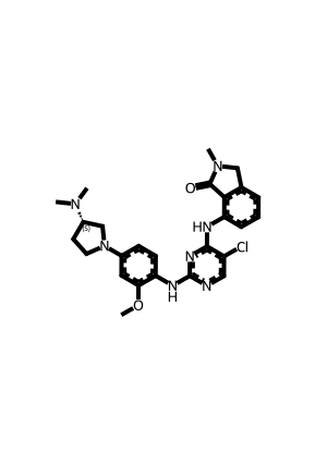 COc1cc(N2CC[C@H](N(C)C)C2)ccc1Nc1ncc(Cl)c(Nc2cccc3c2C(=O)N(C)C3)n1